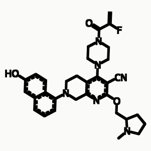 C=C(F)C(=O)N1CCN(c2c(C#N)c(OCC3CCCN3C)nc3c2CCN(c2cccc4cc(O)ccc24)C3)CC1